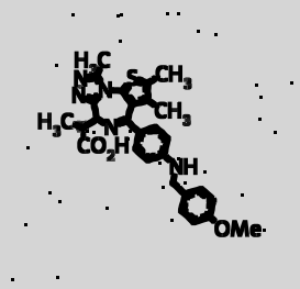 COc1ccc(CNc2ccc(C3=NC([C@H](C)C(=O)O)c4nnc(C)n4-c4sc(C)c(C)c43)cc2)cc1